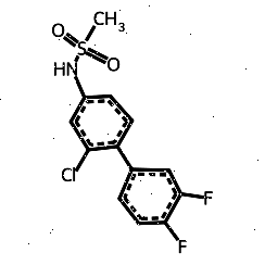 CS(=O)(=O)Nc1ccc(-c2ccc(F)c(F)c2)c(Cl)c1